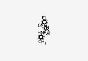 Cc1ccc(Nc2ncnc3nn(-c4ccc(Cl)cc4Cl)cc23)cc1